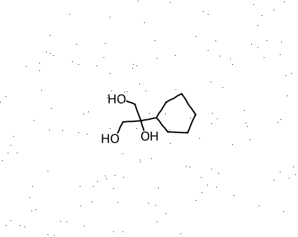 OCC(O)(CO)C1CCCCC1